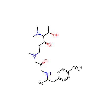 CC(=O)[C@H](Cc1ccc(C(=O)O)cc1)NCC(=O)CN(C)CCC(=O)[C@H]([C@@H](C)O)N(C)C